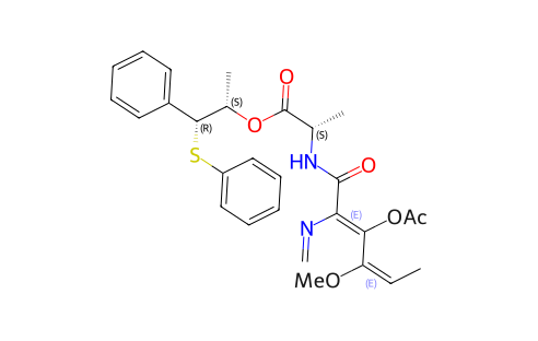 C=N/C(C(=O)N[C@@H](C)C(=O)O[C@@H](C)[C@H](Sc1ccccc1)c1ccccc1)=C(OC(C)=O)\C(=C/C)OC